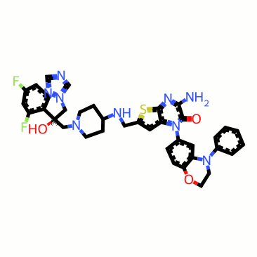 Nc1nc2sc(CNC3CCN(C[C@@](O)(Cn4cncn4)c4ccc(F)cc4F)CC3)cc2n(-c2ccc3c(c2)N(c2ccccc2)CCO3)c1=O